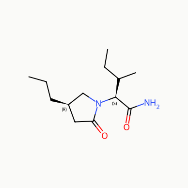 CCC[C@@H]1CC(=O)N([C@H](C(N)=O)C(C)CC)C1